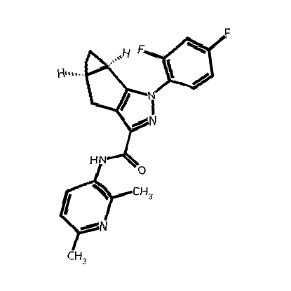 Cc1ccc(NC(=O)c2nn(-c3ccc(F)cc3F)c3c2C[C@H]2C[C@@H]32)c(C)n1